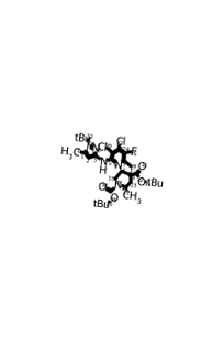 Cc1cc(Nc2nc(C[C@@]3(C(=O)OC(C)(C)C)CCN(C(=O)OC(C)(C)C)[C@H](C)C3)c(F)c(Cl)c2Cl)nn1C(C)(C)C